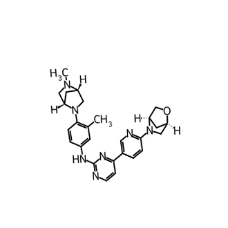 Cc1cc(Nc2nccc(-c3ccc(N4C[C@H]5C[C@@H]4CO5)nc3)n2)ccc1N1C[C@@H]2C[C@H]1CN2C